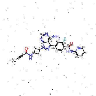 CC#CC(=O)N[C@H]1C[C@@H](n2nc(-c3ccc(C(=O)Nc4ccccn4)c(F)c3)c3c(N)ncnc32)C1